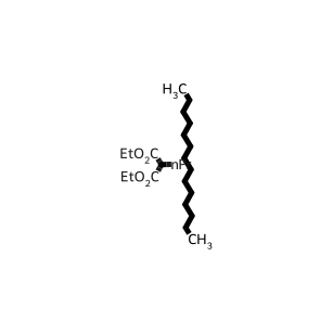 CCCC(C(=O)OCC)C(=O)OCC.CCCCCCCCCCCCCC